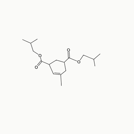 CC1=CC(C(=O)OCC(C)C)CC(C(=O)OCC(C)C)C1